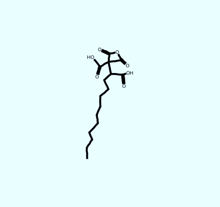 CCCCCCCCCCC(C(=O)O)C1(C(=O)O)C(=O)OC1=O